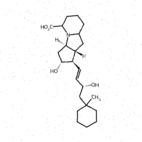 CC1(C[C@@H](O)/C=C/[C@@H]2[C@H]3CC4CCCC(C(=O)O)N4[C@@H]3C[C@H]2O)CCCCC1